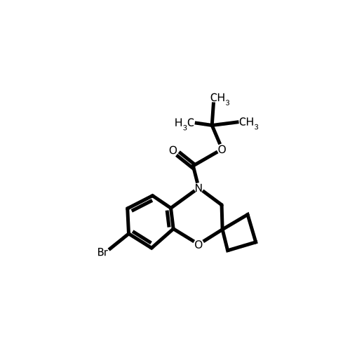 CC(C)(C)OC(=O)N1CC2(CCC2)Oc2cc(Br)ccc21